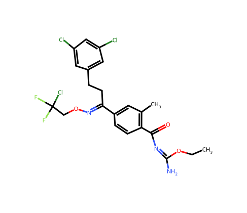 CCO/C(N)=N\C(=O)c1ccc(/C(CCc2cc(Cl)cc(Cl)c2)=N/OCC(F)(F)Cl)cc1C